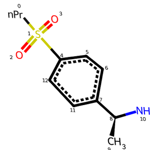 CCCS(=O)(=O)c1ccc([C@H](C)N)cc1